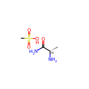 CS(=O)(=O)O.C[C@H](N)C(N)=O